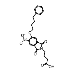 O=C(O)CCCN1C(=O)c2cc(OCCCCc3ccccc3)c([N+](=O)[O-])cc2C1=O